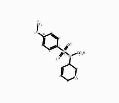 O=C(O)N(C1C=CCOC1)S(=O)(=O)c1ccc(OC(F)(F)F)cc1